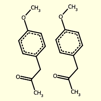 COc1ccc(CC(C)=O)cc1.COc1ccc(CC(C)=O)cc1